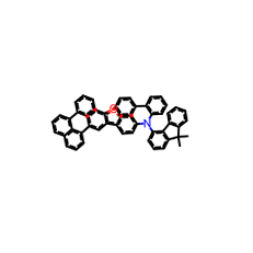 CC1(C)c2ccccc2-c2c(N(c3ccc4c(c3)oc3ccc(-c5cccc6cccc(-c7ccccc7)c56)cc34)c3ccccc3-c3ccccc3)cccc21